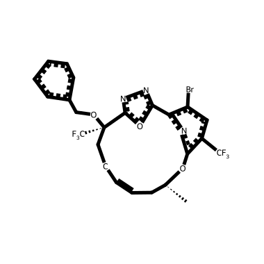 C[C@@H]1CC=CCC[C@](OCc2ccccc2)(C(F)(F)F)c2nnc(o2)-c2nc(c(C(F)(F)F)cc2Br)O1